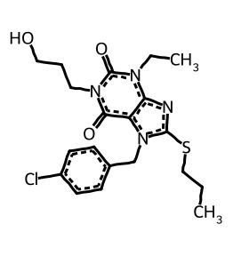 CCCSc1nc2c(c(=O)n(CCCO)c(=O)n2CC)n1Cc1ccc(Cl)cc1